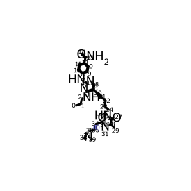 CCCNc1nc(Nc2ccc(C(N)=O)cc2)ncc1C#CCCCNC(=O)C(C)N(C)C(=O)/C=C/CN(C)C